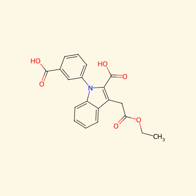 CCOC(=O)Cc1c(C(=O)O)n(-c2cccc(C(=O)O)c2)c2ccccc12